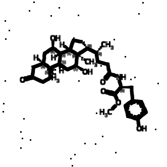 COC(=O)[C@H](Cc1ccc(O)cc1)NC(=O)CC[C@@H](C)[C@H]1CC[C@H]2[C@@H]3[C@H](O)C[C@@H]4CC(=O)CC[C@]4(C)[C@H]3C[C@H](O)[C@]12C